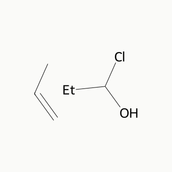 C=CC.CCC(O)Cl